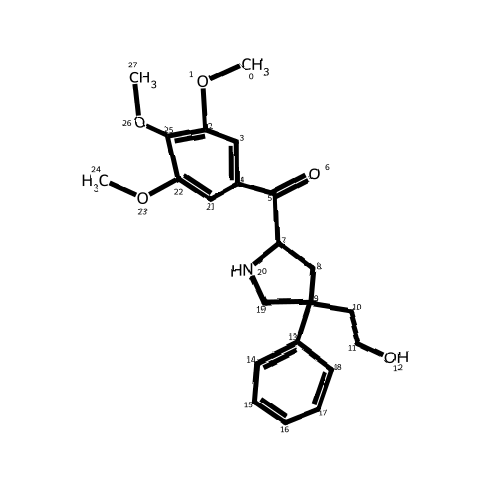 COc1cc(C(=O)C2CC(CCO)(c3ccccc3)CN2)cc(OC)c1OC